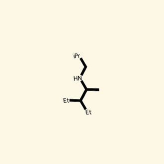 CCC(CC)C(C)NCC(C)C